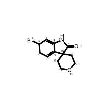 O=C1NC2=CC(Br)CC=C2C12CCOCC2